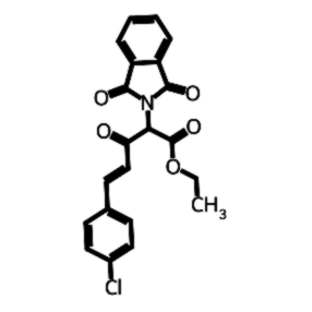 CCOC(=O)C(C(=O)C=Cc1ccc(Cl)cc1)N1C(=O)c2ccccc2C1=O